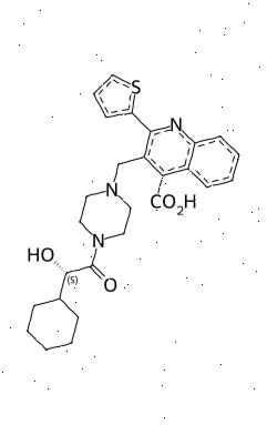 O=C(O)c1c(CN2CCN(C(=O)[C@@H](O)C3CCCCC3)CC2)c(-c2cccs2)nc2ccccc12